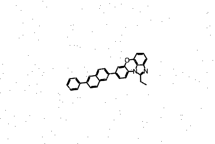 CCc1nc2cccc3c2n1-c1ccc(-c2ccc4cc(-c5ccccc5)ccc4c2)cc1O3